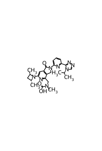 CC(C)n1cnnc1-c1cccc(N2Cc3c(cc(N4[C@H](C)C[C@H]4C)nc3CN(C)C(=O)O)C2=O)n1